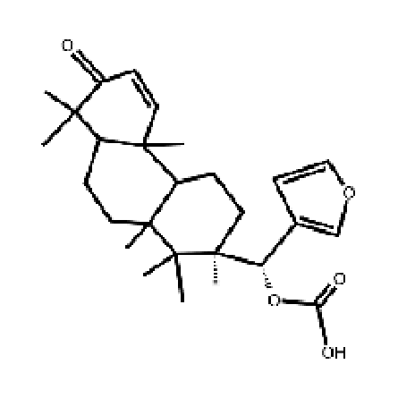 CC1(C)C(=O)C=CC2(C)C1CCC1(C)C2CC[C@@](C)([C@@H](OC(=O)O)c2ccoc2)C1(C)C